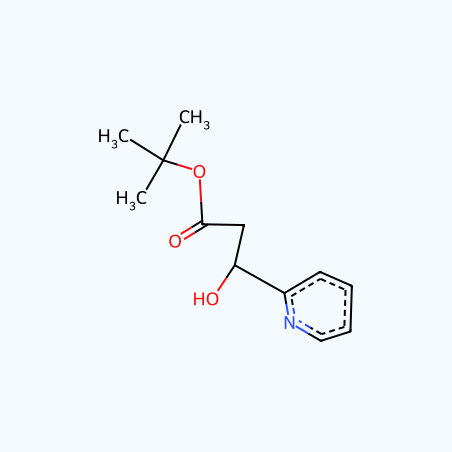 CC(C)(C)OC(=O)CC(O)c1ccccn1